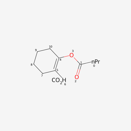 CCCC(=O)OC1=C(C(=O)O)CCCC1